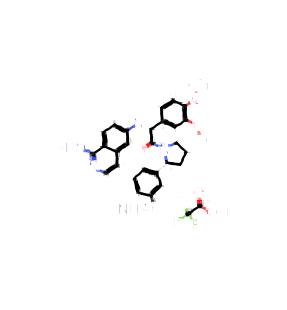 CCOc1cc([C@@H](Nc2ccc3c(N)nccc3c2)C(=O)N2CCC[C@H]2c2cccc(NC(C)=O)c2)ccc1OC(C)C.O=C(O)C(F)(F)F